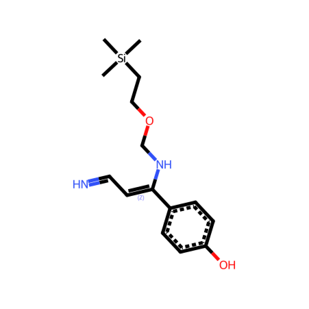 C[Si](C)(C)CCOCN/C(=C\C=N)c1ccc(O)cc1